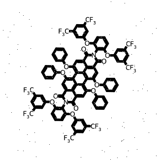 O=C1c2cc(Oc3ccccc3)c3c4c(Oc5ccccc5)cc5c6c(cc(Oc7ccccc7)c(c7c(Oc8ccccc8)cc(c2c37)C(=O)N1c1c(Oc2cc(C(F)(F)F)cc(C(F)(F)F)c2)cccc1Oc1cc(C(F)(F)F)cc(C(F)(F)F)c1)c64)C(=O)N(c1c(Oc2cc(C(F)(F)F)cc(C(F)(F)F)c2)cccc1Oc1cc(C(F)(F)F)cc(C(F)(F)F)c1)C5=O